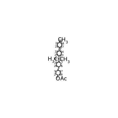 CC(=O)Oc1ccc(-c2ccc(C(C)(C)c3ccc(-c4ccc(C)cc4)cc3)cc2)cc1